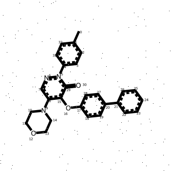 Cc1ccc(-n2ncc(N3CCOCC3)c(Oc3ccc(-c4ccccc4)cc3)c2=O)cc1